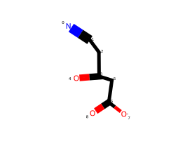 N#CCC(=O)CC([O])=O